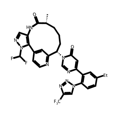 CCc1ccc(-n2cc(C(F)(F)F)nn2)c(-c2cc(=O)n([C@H]3CCC[C@@H](C)C(=O)Nc4cnn(C(F)F)c4-c4ccnc3c4)cn2)c1